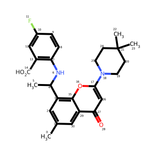 Cc1cc(C(C)Nc2ccc(F)cc2C(=O)O)c2oc(N3CCC(C)(C)CC3)cc(=O)c2c1